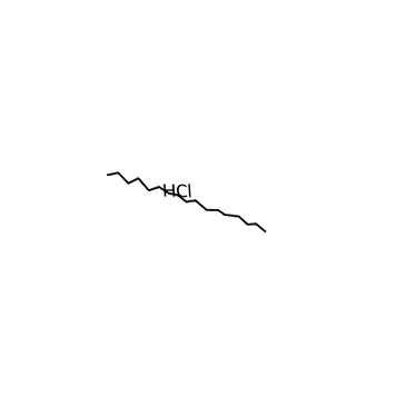 CCCCCCCCCCCCCCCCC.Cl